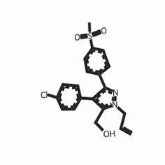 C=CCn1nc(-c2ccc(S(C)(=O)=O)cc2)c(-c2ccc(Cl)cc2)c1CO